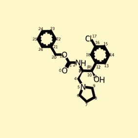 O=C(N[C@H](CN1CCCC1)[C@H](O)c1cccc(Cl)c1)OCc1ccccc1